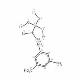 CCO[Si](OCC)(OCC)C(N)CC.Nc1cc(N)cc(C(=O)O)c1